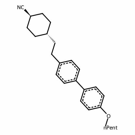 CCCCCOc1ccc(-c2ccc(CC[C@H]3CC[C@H](C#N)CC3)cc2)cc1